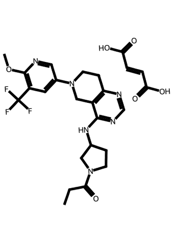 CCC(=O)N1CCC(Nc2ncnc3c2CN(c2cnc(OC)c(C(F)(F)F)c2)CC3)C1.O=C(O)C=CC(=O)O